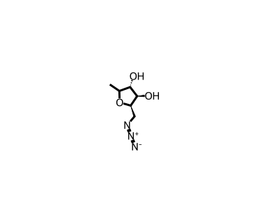 CC1O[C@H](CN=[N+]=[N-])[C@H](O)[C@H]1O